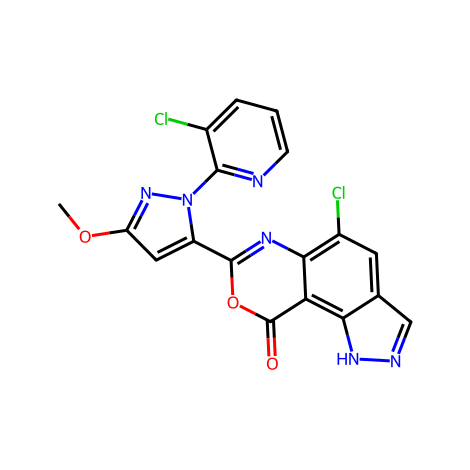 COc1cc(-c2nc3c(Cl)cc4cn[nH]c4c3c(=O)o2)n(-c2ncccc2Cl)n1